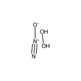 N#[N+][O-].OO